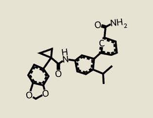 CC(C)c1ccc(NC(=O)C2(c3ccc4c(c3)OCO4)CC2)cc1-c1cccc(C(N)=O)c1